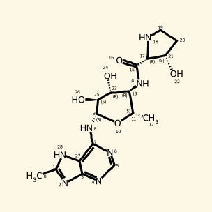 Cc1nc2ncnc(N[C@H]3O[C@@H](C)[C@H](NC(=O)[C@@H]4NCC[C@@H]4O)[C@@H](O)[C@@H]3O)c2[nH]1